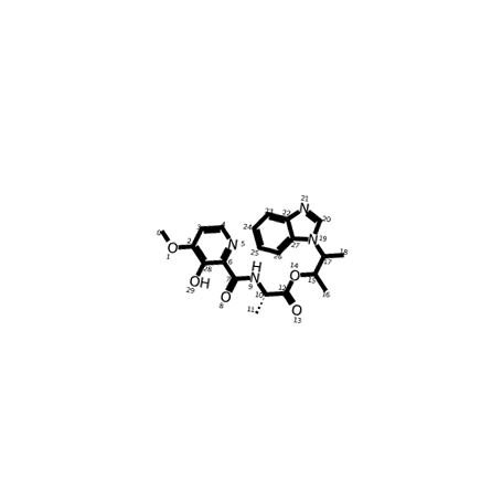 COc1ccnc(C(=O)N[C@@H](C)C(=O)OC(C)C(C)n2cnc3ccccc32)c1O